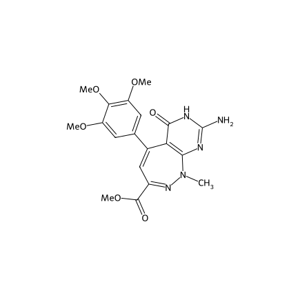 COC(=O)C1=NN(C)c2nc(N)[nH]c(=O)c2C(c2cc(OC)c(OC)c(OC)c2)=C1